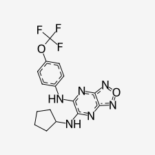 FC(F)(F)Oc1ccc(Nc2nc3nonc3nc2NC2CCCC2)cc1